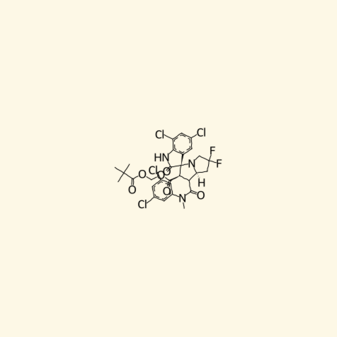 CN(C(=O)C1[C@@H](C(=O)OCOC(=O)C(C)(C)C)[C@]2(C(=O)Nc3c(Cl)cc(Cl)cc32)N2CC(F)(F)C[C@@H]12)c1cc(Cl)cc(Cl)c1